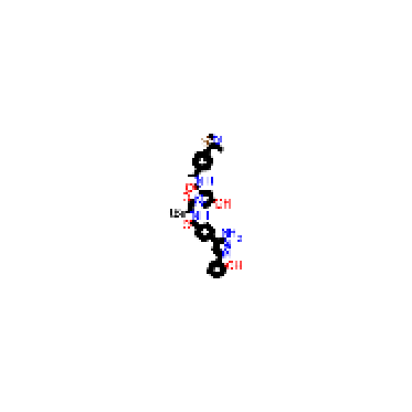 Cc1ncsc1-c1ccc([C@H](C)NC(=O)[C@@H]2C[C@@H](O)CN2C(=O)[C@@H](NC(=O)c2ccc(-c3cc(-c4ccccc4O)nnc3N)cc2)C(C)(C)C)cc1